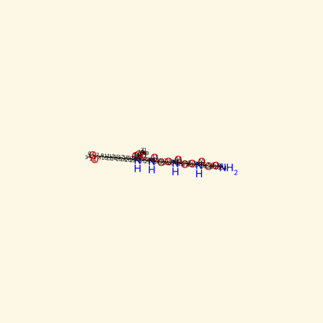 CC(C)(C)OC(=O)CCCCCCCCCCCCCCCCC(=O)N[C@@H](CCCCNC(=O)CCOCCOCCNC(=O)CCOCCOCCNC(=O)CCOCCOCCN)C(=O)OC(C)(C)C